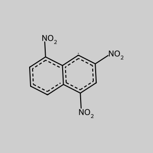 O=[N+]([O-])c1[c]c2c([N+](=O)[O-])cccc2c([N+](=O)[O-])c1